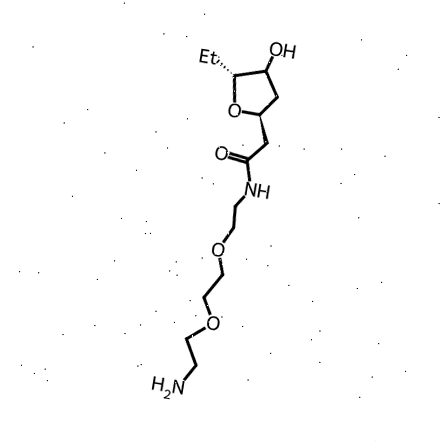 CC[C@H]1O[C@H](CC(=O)NCCOCCOCCN)CC1O